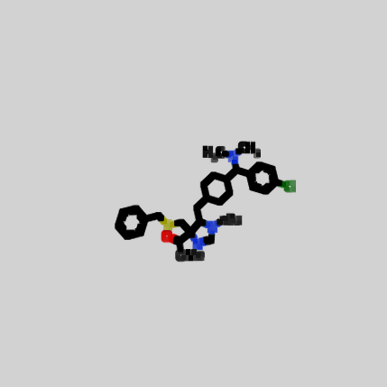 CCCCN1C=NC(CSCc2ccccc2)(C(=O)OC)C1CC1CCC(C(c2ccc(Cl)cc2)N(C)C)CC1